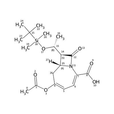 CC(=O)OC1=CC=C(C(=O)O)N2C(=O)[C@H]([C@@H](C)O[Si](C)(C)C(C)(C)C)[C@H]2C1